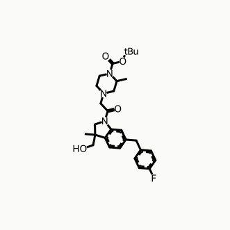 CC1CN(CC(=O)N2CC(C)(CO)c3ccc(Cc4ccc(F)cc4)cc32)CCN1C(=O)OC(C)(C)C